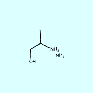 CC(N)CO.N